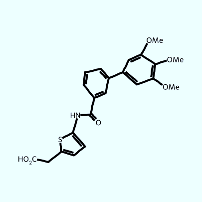 COc1cc(-c2cccc(C(=O)Nc3ccc(CC(=O)O)s3)c2)cc(OC)c1OC